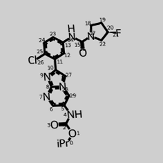 CC(C)OC(=O)Nc1cnc2nc(-c3cc(NC(=O)N4CC[C@@H](F)C4)ccc3Cl)cn2c1